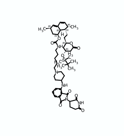 C[C@H]1C=C2C=C[C@H](C)[C@H](CC[C@@H]3C[C@@H](O[Si](C)(C)C(C)(C)C)CC(=O)O3)[C@H]2[C@@H](OC(=O)NCCCCCN2CCC(Nc3cccc4c3C(=O)N(C3CCC(=O)NC3=O)C4=O)CC2)C1